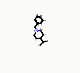 CC(C)C1CCN(Cc2ccccc2)CC1